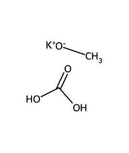 C[O-].O=C(O)O.[K+]